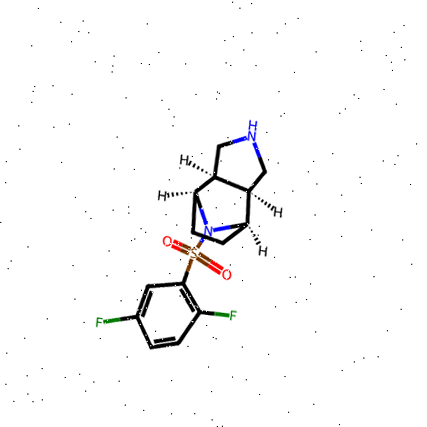 O=S(=O)(c1cc(F)ccc1F)N1[C@@H]2CC[C@H]1[C@H]1CNC[C@H]12